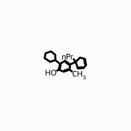 CCCC1(c2cc(C3CCCCC3)c(O)cc2C)C=CC=CC1